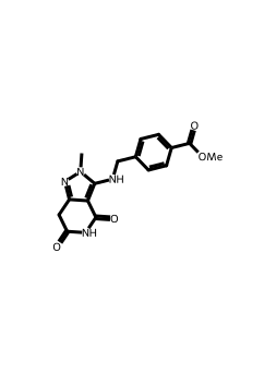 COC(=O)c1ccc(CNc2c3c(nn2C)CC(=O)NC3=O)cc1